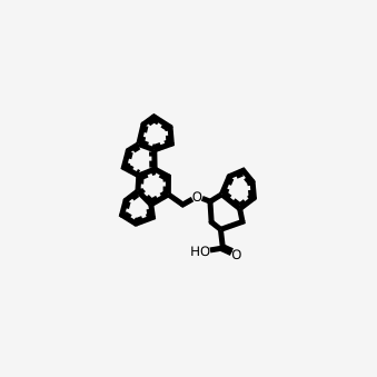 O=C(O)C1Cc2ccccc2C(OCc2cc3c4ccccc4ccc3c3ccccc23)C1